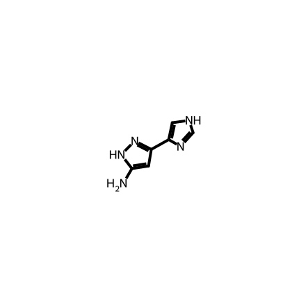 Nc1cc(-c2c[nH]cn2)n[nH]1